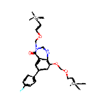 C[Si](C)(C)CCOCOc1cc(-c2ccc(F)cc2)cc2c(=O)n(COCC[Si](C)(C)C)cnc12